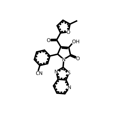 Cc1ccc(C(=O)C2=C(O)C(=O)N(c3nc4cccnc4s3)C2c2cccc(C#N)c2)o1